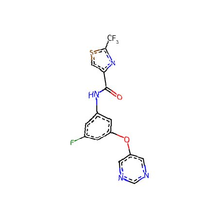 O=C(Nc1cc(F)cc(Oc2cncnc2)c1)c1csc(C(F)(F)F)n1